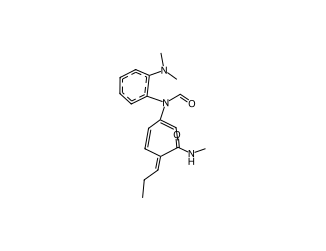 C\C=C(/C=C\C(=C/CC)C(=O)NC)N(C=O)c1ccccc1N(C)C